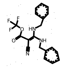 N#CC(C(=O)OC(F)(F)F)=C(NCc1ccccc1)NCc1ccccc1